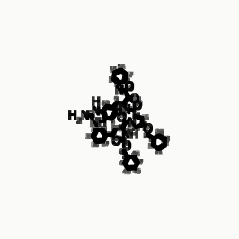 N=C(N)Nc1cccc(C[C@H](NC(=O)[C@@H]2C[C@@H](OCc3ccccc3)CN2C(=O)[C@@H](CCc2ccccc2)NC(=O)OCc2ccccc2)C(=O)c2nc3ccccc3o2)c1